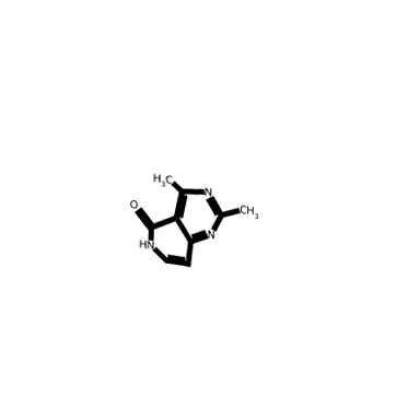 Cc1nc(C)c2c(=O)[nH]ccc2n1